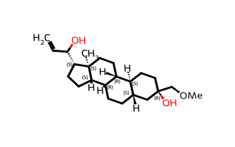 C=CC(O)[C@H]1CC[C@H]2[C@@H]3CC[C@H]4C[C@@](O)(COC)CC[C@@H]4[C@H]3CC[C@]12C